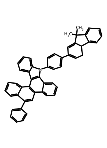 CC1(C)C2=CC(c3ccc(-n4c5ccccc5c5c6c7ccccc7c(-c7ccccc7)cc6c6ccccc6c54)cc3)=CCC2c2ccccc21